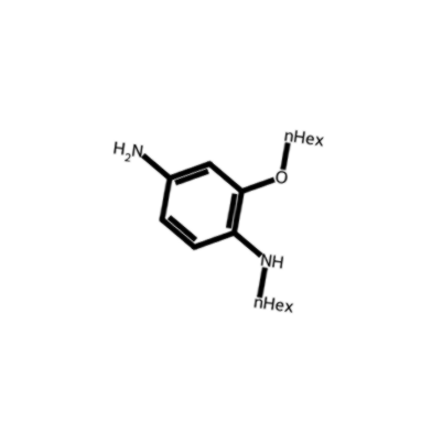 CCCCCCNc1ccc(N)cc1OCCCCCC